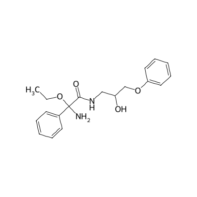 CCOC(N)(C(=O)NCC(O)COc1ccccc1)c1ccccc1